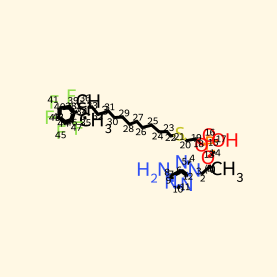 C[C@H](Cn1cnc2c(N)ncnc21)OCP(=O)(O)OCCSCCCCCCCCCCCC[Si](C)(C)c1c(F)c(F)c(F)c(F)c1F